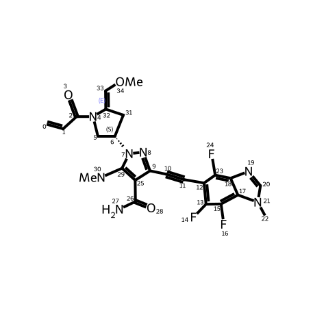 C=CC(=O)N1C[C@@H](n2nc(C#Cc3c(F)c(F)c4c(ncn4C)c3F)c(C(N)=O)c2NC)C/C1=C\OC